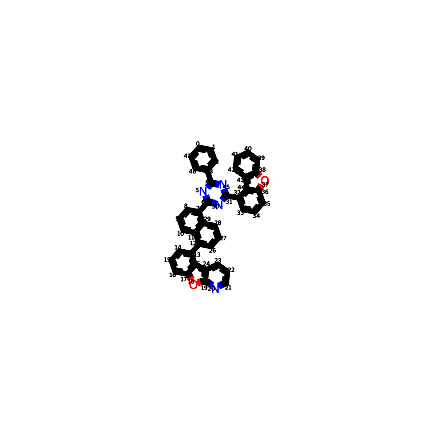 c1ccc(-c2nc(-c3cccc4c(-c5cccc6oc7ncccc7c56)cccc34)nc(-c3cccc4oc5ccccc5c34)n2)cc1